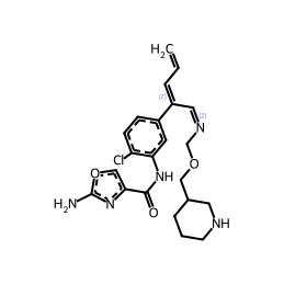 C=C/C=C(\C=N/COCC1CCCNC1)c1ccc(Cl)c(NC(=O)c2coc(N)n2)c1